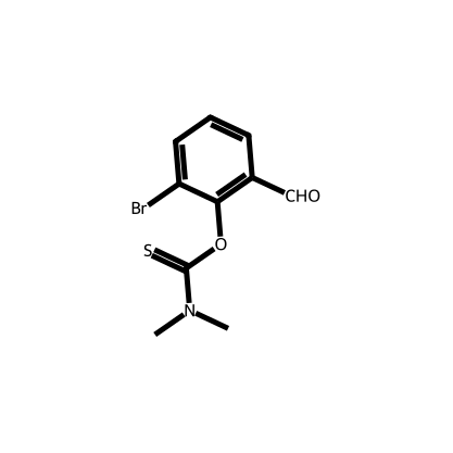 CN(C)C(=S)Oc1c(Br)cccc1C=O